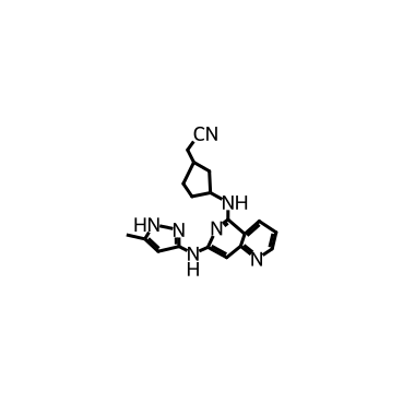 Cc1cc(Nc2cc3ncccc3c(NC3CCC(CC#N)C3)n2)n[nH]1